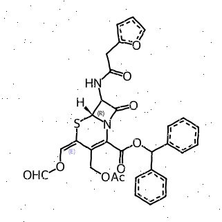 CC(=O)OCC1=C(C(=O)OC(c2ccccc2)c2ccccc2)N2C(=O)C(NC(=O)Cc3ccco3)[C@H]2S/C1=C/OC=O